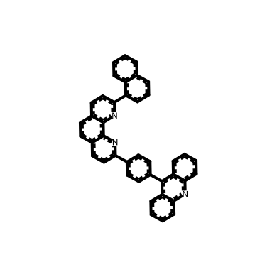 c1ccc2c(-c3ccc4ccc5ccc(-c6ccc(-c7c8ccccc8nc8ccccc78)cc6)nc5c4n3)cccc2c1